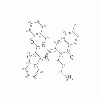 Cc1ccc(C(=O)N(CCCN)C(c2nc3c(c(=O)n2Cc2ccccc2)OC2C=CC=CC32)C(C)C)cc1